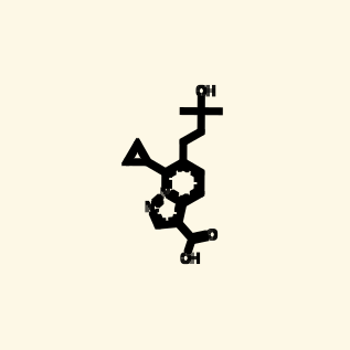 CC(C)(O)CCc1ccc2c(C(=O)O)cnn2c1C1CC1